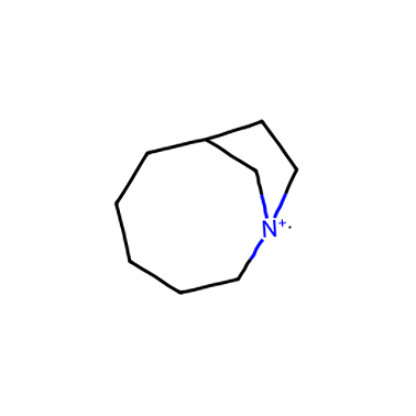 C1CCC2CC[N+](CC1)C2